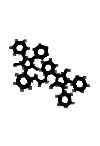 CC1=C(c2ccccc2)C(c2ccccc2)=C(C)C1c1ccccc1CSCc1ccccc1C1C(C)=C(c2ccccc2)C(c2ccccc2)=C1C